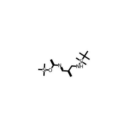 C=C(/C=N/C(=C)O[Si](C)(C)C)CN[Si](C)(C)C(C)(C)C